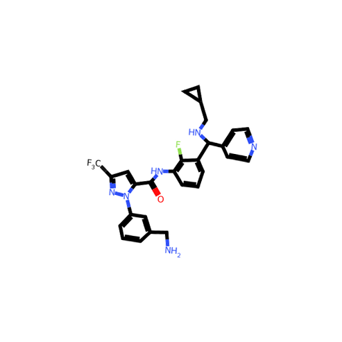 NCc1cccc(-n2nc(C(F)(F)F)cc2C(=O)Nc2cccc(C(NCC3CC3)c3ccncc3)c2F)c1